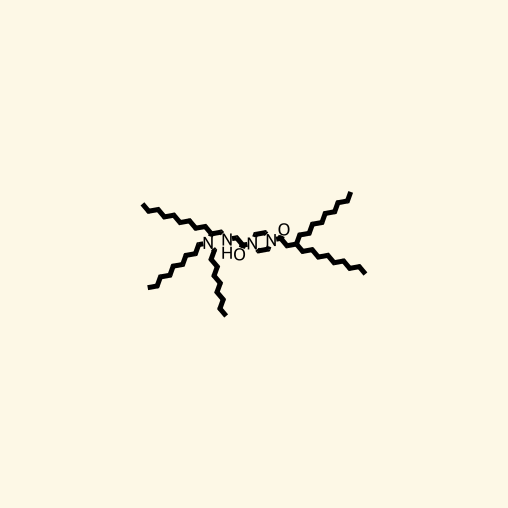 CCCCCCCCCC(CCCCCCCCC)CC(=O)N1CCN(C(=O)CNCC(CCCCCCCCC)N(CCCCCCCCC)CCCCCCCCC)CC1